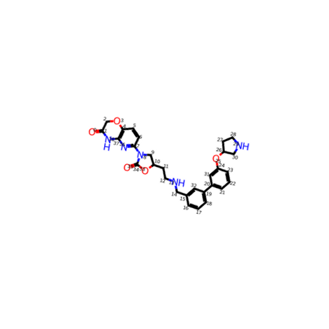 O=C1COc2ccc(N3CC(CCNCc4cccc(-c5cccc(OC6CCNC6)c5)c4)OC3=O)nc2N1